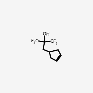 OC(CC1CC=CC1)(C(F)(F)F)C(F)(F)F